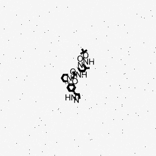 Cc1cc(NC(=O)C(=O)N2CCCC[C@H]2c2ccc(-c3ccn[nH]3)cc2)cnc1NC(=O)OC(C)(C)C